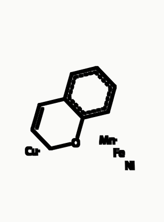 C1=Cc2ccccc2OC1.[Cu].[Fe].[Mn].[Ni]